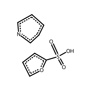 O=S(=O)(O)c1ccco1.c1ccncc1